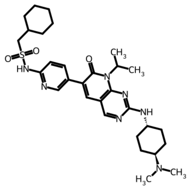 CC(C)n1c(=O)c(-c2ccc(NS(=O)(=O)CC3CCCCC3)nc2)cc2cnc(N[C@H]3CC[C@H](N(C)C)CC3)nc21